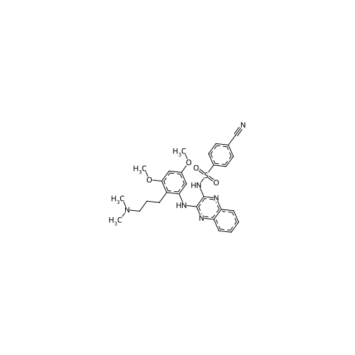 COc1cc(Nc2nc3ccccc3nc2NS(=O)(=O)c2ccc(C#N)cc2)c(CCCN(C)C)c(OC)c1